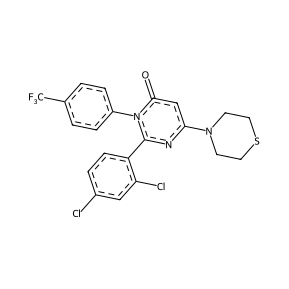 O=c1cc(N2CCSCC2)nc(-c2ccc(Cl)cc2Cl)n1-c1ccc(C(F)(F)F)cc1